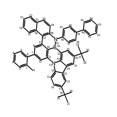 Cc1ccccc1-c1cc2c3c(c1)-n1c4ccc(C(C)(C)C)cc4c4cc(C(C)(C)C)cc(c41)B3N(c1ccc(-c3ccccc3)cc1)c1ccc3ccccc3c1-2